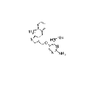 CCCCNc1nc(N)ncc1OCC1=CN=CC1Cc1ccccc1C